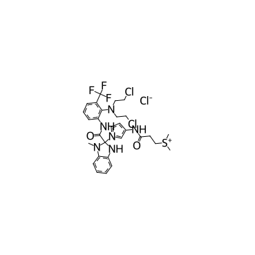 CN1c2ccccc2NC1(C(=O)Nc1cccc(C(F)(F)F)c1N(CCCl)CCCl)n1ccc(NC(=O)CC[S+](C)C)c1.[Cl-]